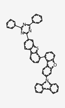 c1ccc(-c2nc(-c3ccccc3)nc(-c3ccc4c(c3)sc3c(-c5cccc6oc7cc(-n8c9ccccc9c9ccccc98)ccc7c56)cccc34)n2)cc1